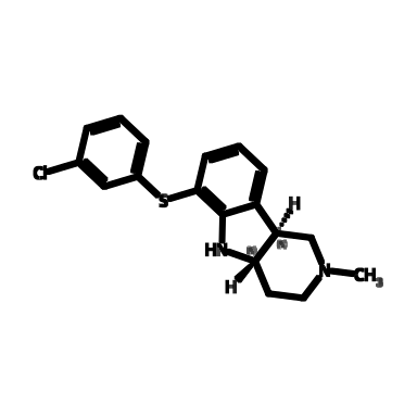 CN1CC[C@@H]2Nc3c(Sc4cccc(Cl)c4)cccc3[C@H]2C1